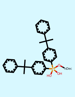 CCCCCCCCCCOP(O)(O)(c1ccc(C(C)(C)c2ccccc2)cc1)c1ccc(C(C)(C)c2ccccc2)cc1